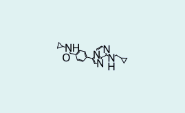 O=C(NC1CC1)c1ccc(-c2cnc3c(NCC4CC4)nccn23)cc1